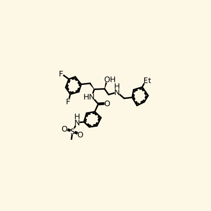 CCc1cccc(CNC[C@H](O)[C@H](Cc2cc(F)cc(F)c2)NC(=O)c2cccc(NS(C)(=O)=O)c2)c1